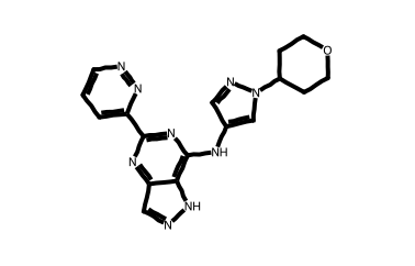 c1cnnc(-c2nc(Nc3cnn(C4CCOCC4)c3)c3[nH]ncc3n2)c1